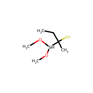 CCC(C)(S)[SiH](OC)OC